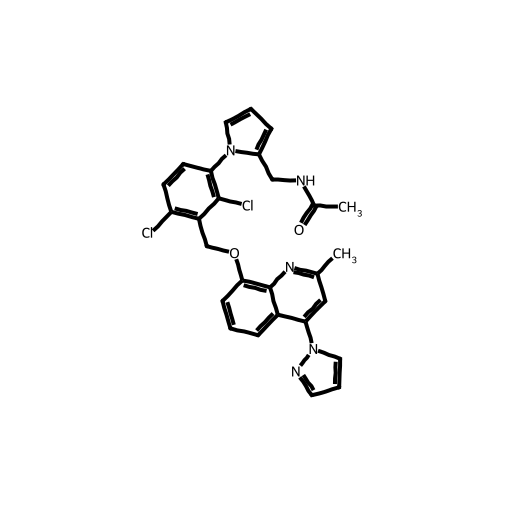 CC(=O)NCc1cccn1-c1ccc(Cl)c(COc2cccc3c(-n4cccn4)cc(C)nc23)c1Cl